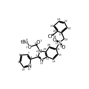 CC(C)(C)OC(=O)n1c(-c2ccccn2)nc2ccc(S(=O)(=O)Cc3ccccc3Cl)cc21